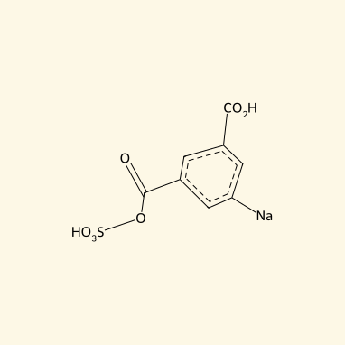 O=C(O)c1c[c]([Na])cc(C(=O)OS(=O)(=O)O)c1